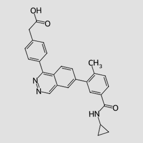 Cc1ccc(C(=O)NC2CC2)cc1-c1ccc2c(-c3ccc(CC(=O)O)cc3)nncc2c1